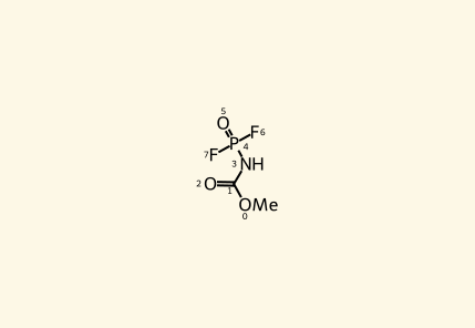 COC(=O)NP(=O)(F)F